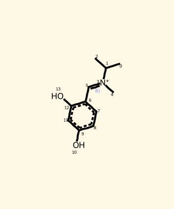 CC(C)/[N+](C)=C/c1ccc(O)cc1O